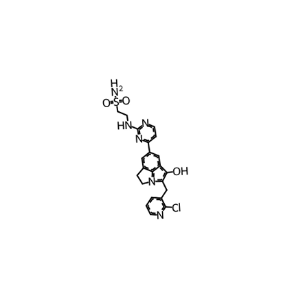 NS(=O)(=O)CCNc1nccc(-c2cc3c4c(c2)c(O)c(Cc2cccnc2Cl)n4CC3)n1